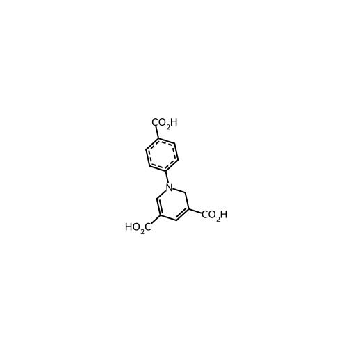 O=C(O)C1=CN(c2ccc(C(=O)O)cc2)CC(C(=O)O)=C1